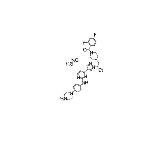 CCC(CC1CCN(C(=O)c2ccc(F)cc2F)CC1)n1cc(-c2ccnc(Nc3ccc(N4CCNCC4)cc3)n2)cn1.O=NO